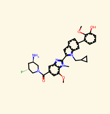 COc1c(O)cccc1-c1ccc2cc(-c3nc4cc(C(=O)N5C[C@H](N)C[C@@H](F)C5)cc(OC)c4n3C)n(CC3CC3)c2c1